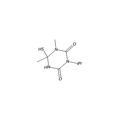 CC(C)N1C(=O)NC(C)(S)N(C)C1=O